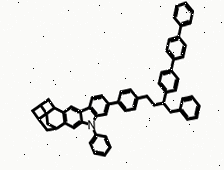 c1ccc(CC(CCc2ccc(-c3ccc4c5cc6c(cc5n(-c5ccccc5)c4c3)C3CC4CC5CC6C45C3)cc2)c2ccc(-c3ccc(-c4ccccc4)cc3)cc2)cc1